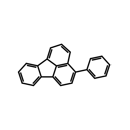 [c]1ccc(-c2ccc3c4c(cccc24)-c2ccccc2-3)cc1